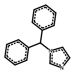 c1ccc([C](c2ccccc2)n2ccnc2)cc1